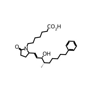 C[C@@H](CCCCCc1ccccc1)[C@H](O)C=CC1CCC(=O)N1CCCCCCC(=O)O